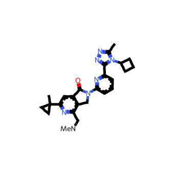 CNCc1nc(C2(C)CC2)cc2c1CN(c1cccc(-c3nnc(C)n3C3CCC3)n1)C2=O